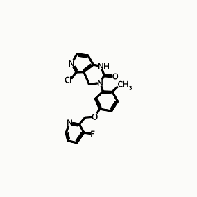 Cc1ccc(OCc2ncccc2F)cc1N1Cc2c(ccnc2Cl)NC1=O